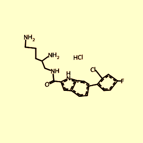 Cl.NCCCC(N)CNC(=O)c1cc2ccc(-c3ccc(F)cc3Cl)cc2[nH]1